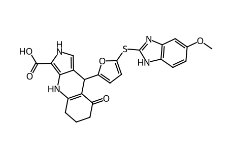 COc1ccc2[nH]c(Sc3ccc(C4C5=C(CCCC5=O)Nc5c4c[nH]c5C(=O)O)o3)nc2c1